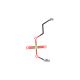 CCCCOS(=O)(=O)OCCC(C)C